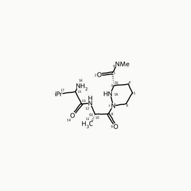 CNC(=O)[C@@H]1CCCN(C(=O)[C@H](C)NC(=O)C(N)C(C)C)N1